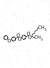 CCCCCCC(CC)OC(=O)c1ccc(OC(=O)c2ccc(Oc3ccccc3)cc2)cc1